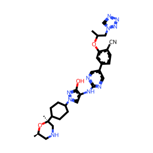 CC(Cn1cnnn1)Oc1cc(-c2cnc(Nc3cn(C4CCC([C@@]5(C)CNC[C@@H](C)O5)CC4)nc3O)nc2)ccc1C#N